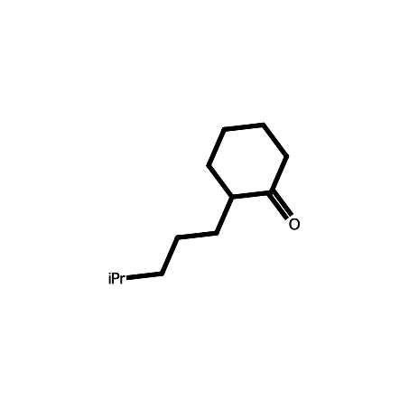 CC(C)CCCC1CCCCC1=O